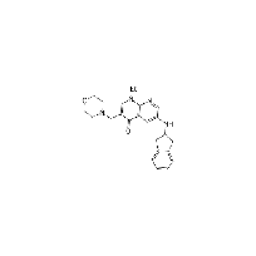 CCn1cc(CN2CCOCC2)c(=O)c2cc(NC3Cc4ccccc4C3)cnc21